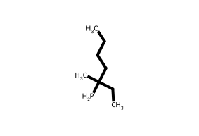 CCCCC(C)(P)CC